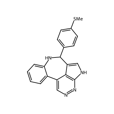 CSc1ccc(C2Nc3ccccc3-c3cnnc4[nH]cc2c34)cc1